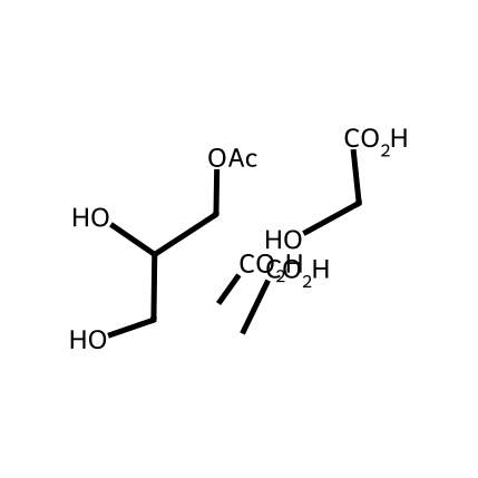 CC(=O)O.CC(=O)O.CC(=O)OCC(O)CO.O=C(O)CO